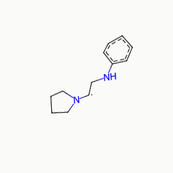 [CH](CNc1ccccc1)N1CCCC1